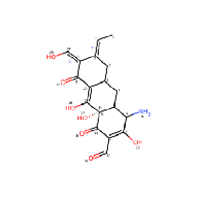 C/C=C1\CC2CC3C(N)C(O)=C(C=O)C(=O)[C@@]3(O)C(O)=C2C(=O)\C1=C/O